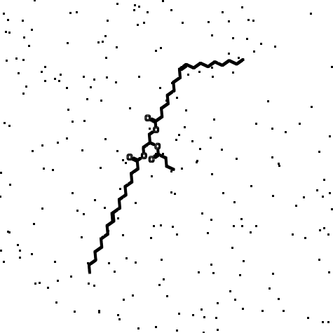 CCCCCCCCC=CCCCCCCCC(=O)OCC(COC(=O)CCCCCCC/C=C\CCCCCCCC)OC(=O)CCC